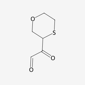 O=CC(=O)C1COCCS1